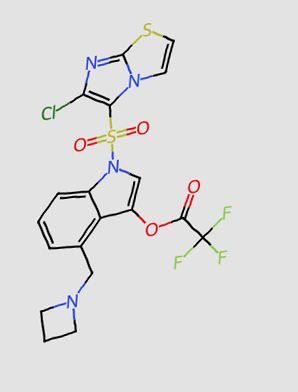 O=C(Oc1cn(S(=O)(=O)c2c(Cl)nc3sccn23)c2cccc(CN3CCC3)c12)C(F)(F)F